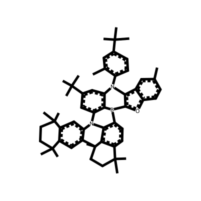 Cc1ccc2oc3c(c2c1)N(c1ccc(C(C)(C)C)cc1C)c1cc(C(C)(C)C)cc2c1B3c1ccc3c4c1N2c1cc2c(cc1C4(C)CCC3(C)C)C(C)(C)CCC2(C)C